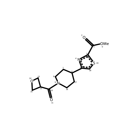 COC(=O)c1nc(C2CCN(C(=O)C3COC3)CC2)cs1